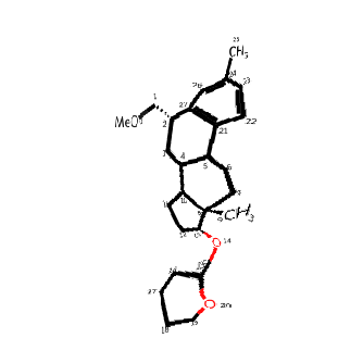 COC[C@H]1CC2C(CC[C@@]3(C)C2CC[C@@H]3OC2CCCCO2)c2ccc(C)cc21